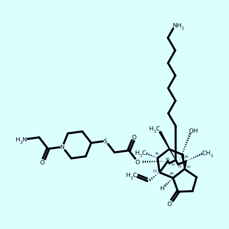 C=C[C@@]12[C@H](C)CC[C@]3(CCC(=O)[C@H]31)[C@@H](C)[C@H](O)[C@@](C)(CCCCCCCCN)C[C@H]2OC(=O)CSC1CCN(C(=O)CN)CC1